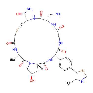 Cc1ncsc1-c1ccc([C@@H]2NC(=O)[C@@H]3C[C@@H](O)CN3C(=O)[C@H](C(C)(C)C)NC(=O)CSC[C@H](C(N)=O)NC(=O)[C@H](CN)NC(=O)CNC2=O)cc1